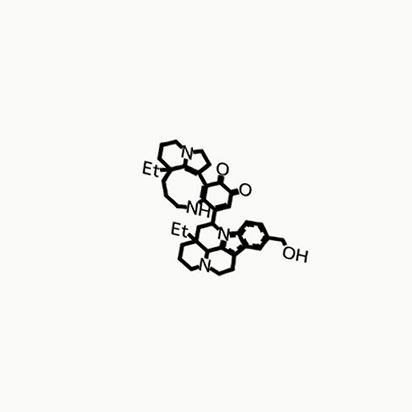 CCC12CCCNC3=C(C(=O)C(=O)C=C3C3CC4(CC)CCCN5CCc6c(n3c3ccc(CO)cc63)C54)C3=C1N(CCC2)CC3